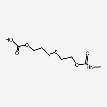 CNC(=O)OCCSSCCOC(=O)O